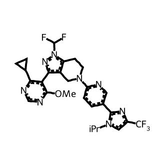 COc1ncnc(C2CC2)c1-c1nn(C(F)F)c2c1CN(c1ccc(-c3nc(C(F)(F)F)cn3C(C)C)cn1)CC2